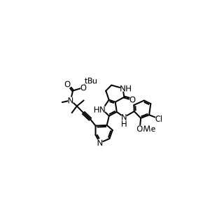 COc1c(Cl)cccc1Nc1c(-c2ccncc2C#CC(C)(C)N(C)C(=O)OC(C)(C)C)[nH]c2c1C(=O)NCC2